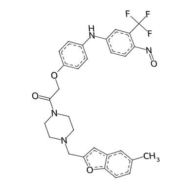 Cc1ccc2oc(CN3CCN(C(=O)COc4ccc(Nc5ccc(N=O)c(C(F)(F)F)c5)cc4)CC3)cc2c1